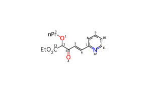 CCCOC(C(=O)C=Cc1ccccn1)C(=O)OCC